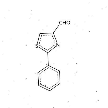 O=Cc1csc(-c2ccccc2)n1